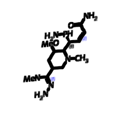 CN/C(=N\N)C1CC(OC)C([C@H](/C=C\C(N)=O)PN)N(C)C1